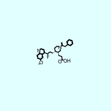 C=C(Cc1ccccc1)N1CC[C@@H](CC[C@@H](F)c2ccnc3ccc(OC)cc23)[C@H](CCC(=O)O)C1